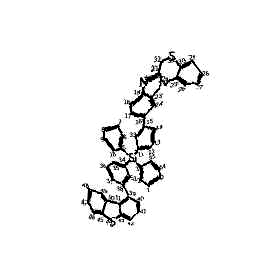 c1ccc([Si](c2ccccc2)(c2cccc(-c3ccc4nc5n(c4c3)-c3ccccc3SC5)c2)c2cccc(-c3cccc4sc5ccccc5c34)c2)cc1